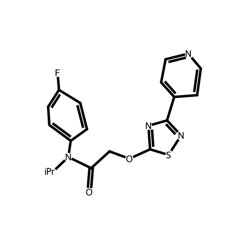 CC(C)N(C(=O)COc1nc(-c2ccncc2)ns1)c1ccc(F)cc1